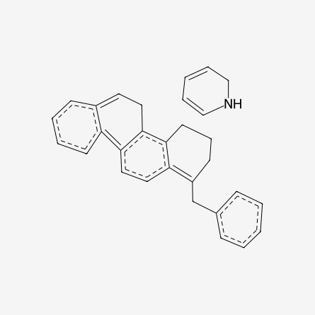 C1=CCNC=C1.C1=c2ccccc2=c2ccc3c(c2C1)CCCC=3Cc1ccccc1